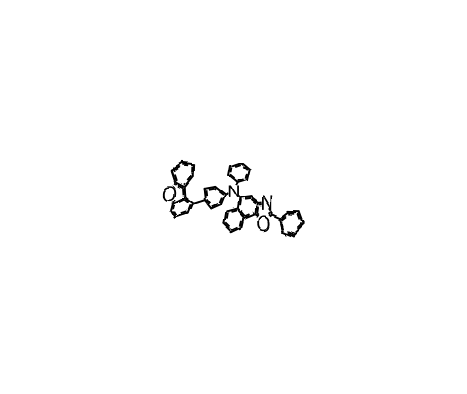 c1ccc(-c2nc3cc(N(c4ccccc4)c4ccc(-c5cccc6oc7ccccc7c56)cc4)c4ccccc4c3o2)cc1